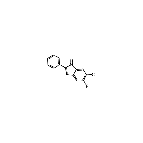 Fc1cc2cc(-c3ccccc3)[nH]c2cc1Cl